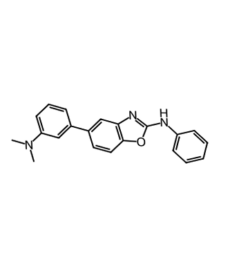 CN(C)c1cccc(-c2ccc3oc(Nc4ccccc4)nc3c2)c1